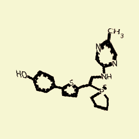 Cc1cnc(NCC(c2ccc(-c3ccc(O)cc3)s2)P2(=S)CCCC2)cn1